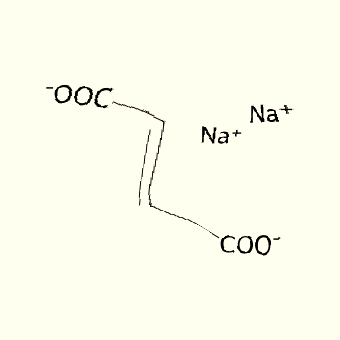 O=[13C]([O-])/C=C/[13C](=O)[O-].[Na+].[Na+]